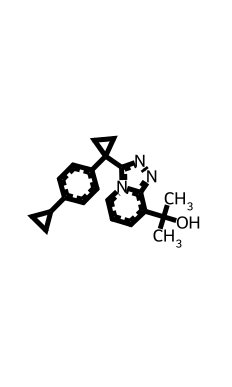 CC(C)(O)c1cccn2c(C3(c4ccc(C5CC5)cc4)CC3)nnc12